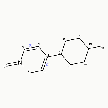 C=N/C=C\C(=C/C)C1CCC(C)CC1